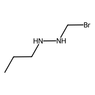 CCCNNCBr